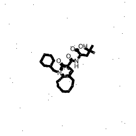 CC(C)(C)CC(NC(=O)c1cc2c(n(CC3CCCCC3)c1=O)CCCCCC2)C(=O)O